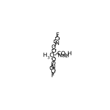 CC(CCC(=O)O)(c1ccc(OCc2ccc3cc(F)ccc3n2)cc1)c1ccc(OCc2ccc3cc(F)ccc3n2)cc1.[NaH]